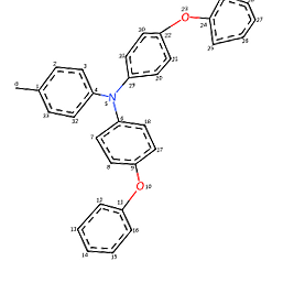 Cc1ccc(N(c2ccc(Oc3ccccc3)cc2)c2ccc(Oc3ccccc3)cc2)cc1